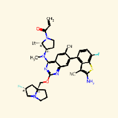 C=CC(=O)N1CC[C@@H](N(C)c2nc(OC[C@@]34CCCN3C[C@H](F)C4)nc3cc(-c4ccc(F)c5sc(N)c(C#N)c45)c(C#N)cc23)[C@@H]1CC